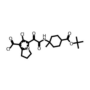 CC1(NC(=O)C(=O)c2c(Cl)c(C(=O)Cl)c3n2CCC3)CCC(C(=O)OC(C)(C)C)CC1